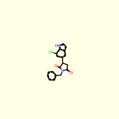 O=C1CC(c2cc(Cl)c3[nH]ccc3c2)C(=O)N1Cc1ccccc1